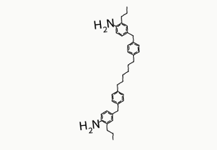 CCCc1cc(Cc2ccc(CCCCCCc3ccc(Cc4ccc(N)c(CCC)c4)cc3)cc2)ccc1N